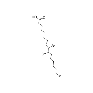 O=C(O)CCCCCCCC(Br)C(Br)CCCCCCBr